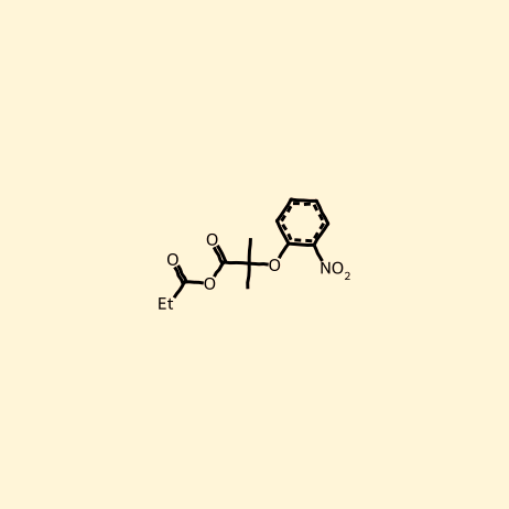 CCC(=O)OC(=O)C(C)(C)Oc1ccccc1[N+](=O)[O-]